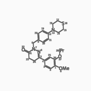 COc1ccc(C2=NN(Cc3ccc(N4CCSCC4)cc3)C(=O)CC2)cc1OC(C)C